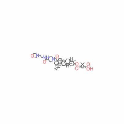 CC1([C@@H]2CC[C@]3(C(=O)N4CCC(C(=O)NCCN5CCOCC5)CC4)CC[C@]4(C)[C@H](CC[C@@H]5[C@@]6(C)CC[C@H](OC(=O)[C@H]7C[C@@H](C(=O)O)C7(C)C)C(C)(C)[C@@H]6CC[C@]54C)[C@@H]23)CC1